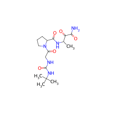 CC(NC(=O)C1CCCN1C(=O)CNC(=O)NC(C)(C)C)C(=O)C(N)=O